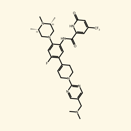 C[C@@H]1CN(c2cc(F)c(C3=CCN(c4ncc(CN(C)C)cn4)CC3)cc2NC(=O)c2cc(C(F)(F)F)cc(=O)[nH]2)C[C@H](C)N1C